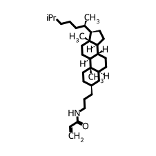 C=CC(=O)NCCC[C@H]1CC[C@@]2(C)[C@@H](CC[C@@H]3[C@@H]2CC[C@]2(C)[C@@H]([C@H](C)CCCC(C)C)CC[C@@H]32)C1